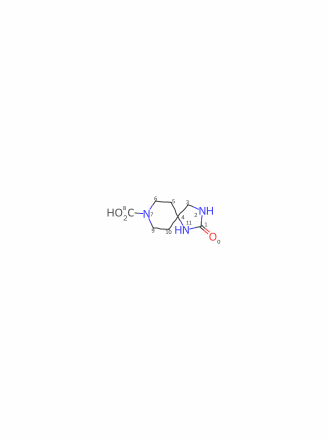 O=C1NCC2(CCN(C(=O)O)CC2)N1